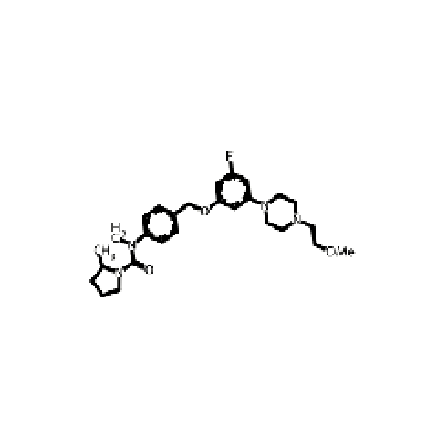 COCCN1CCN(c2cc(F)cc(OCc3ccc(N(C)C(=O)N4CCCC4C)cc3)c2)CC1